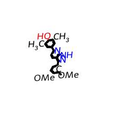 COc1ccc(-c2n[nH]c3nc(-c4cc(C)c(O)c(C)c4)ccc23)cc1OC